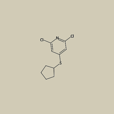 Clc1cc(SC2CCCC2)cc(Cl)n1